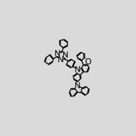 c1ccc(-c2nc(-c3ccccc3)nc(-c3ccc(-n4c5ccc(-n6c7ccccc7c7ccccc76)cc5c5ccc6oc7ccccc7c6c54)cc3)n2)cc1